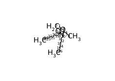 C=CC(=O)OC(CCC)N(CCCCCCCC)CCCCCCCC